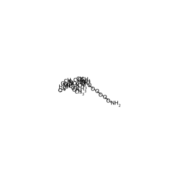 CCC(C)C(C(CC(=O)N1CCC[C@H]1C(OC)C(C)C(=O)NCC1(c2ccccc2)CC1)OC)N(C)C(=O)C(NC(=O)C(C)(C)NC(=O)CCOCCOCCOCCOCCOCCOCCN)C(C)C